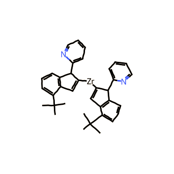 CC(C)(C)c1cccc2c1C=[C]([Zr][C]1=Cc3c(cccc3C(C)(C)C)C1c1ccccn1)C2c1ccccn1